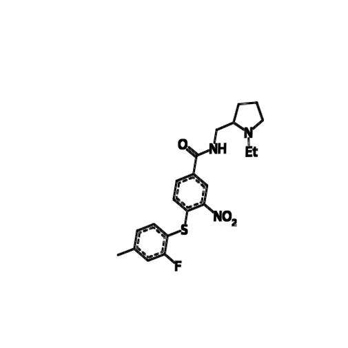 CCN1CCCC1CNC(=O)c1ccc(Sc2ccc(C)cc2F)c([N+](=O)[O-])c1